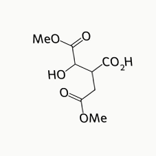 COC(=O)CC(C(=O)O)C(O)C(=O)OC